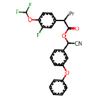 CC(C)C(C(=O)OC(C#N)c1cccc(Oc2ccccc2)c1)c1ccc(OC(F)F)c(F)c1